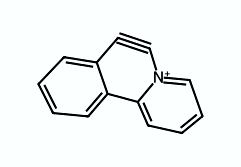 c1c2ccccc2c2cccc[n+]2c#1